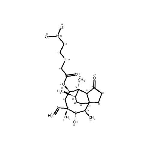 C=C[C@]1(C)C[C@@H](OC(=O)CSCCN(CC)CC)[C@@]2(C)C3C(=O)CCC3(CC[C@H]2C)[C@@H](C)[C@@H]1O